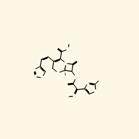 Nc1nc(/C(=N/O)C(=O)NC2C(=O)N3C(C(=O)OC=O)=C(/C=C\c4csnn4)CS[C@@H]23)cs1